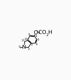 CN1Cc2ccc(OC(=O)O)cc2C1